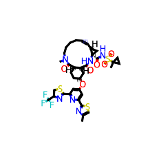 Cc1csc(-c2cc(O[C@H]3CC[C@H]4C(=O)N(C)CCCC/C=C\[C@H]5C[C@@]5(C(=O)NS(=O)(=O)C5(C)CC5)NC(=O)[C@@H]4C3)cc(C3=NC(C(F)(F)F)CS3)n2)n1